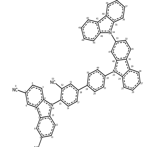 N#Cc1ccc2c(c1)c1cc(C#N)ccc1n2-c1ccc(-c2ccc(-n3c4ccccc4c4ccc(-n5c6ccccc6c6ccccc65)cc43)cc2)cc1C#N